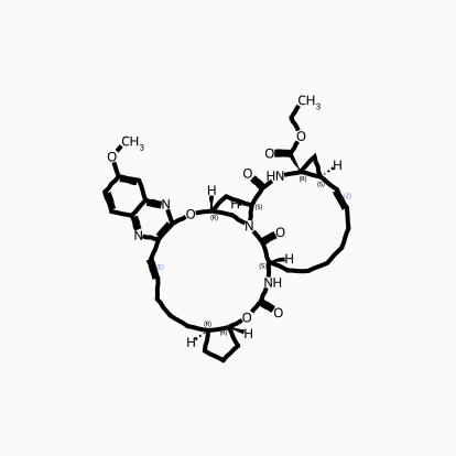 CCOC(=O)[C@@]12C[C@H]1/C=C\CCCCC[C@@H]1NC(=O)O[C@@H]3CCC[C@H]3CCC/C=C/c3nc4ccc(OC)cc4nc3O[C@@H]3C[C@@H](C(=O)N2)N(C3)C1=O